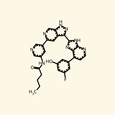 CCCCC(=O)Nc1cncc(-c2cc3c(-c4nc5c(-c6cc(O)cc(F)c6)ccnc5[nH]4)n[nH]c3cn2)c1